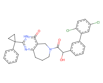 O=C(C(O)c1cccc(-c2cc(Cl)ccc2Cl)c1)N1CCCc2nc(C3(c4ccccc4)CC3)[nH]c(=O)c2C1